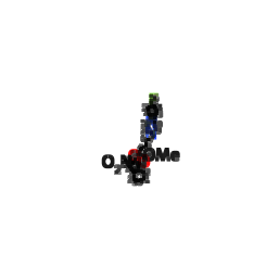 COC(=O)C(CCCCN1CCN(c2ccc(F)cc2)CC1)Oc1cc2c(cc1[N+](=O)[O-])CCCC2